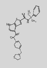 CC(C)(NC(=O)c1cc2c(NC(=O)c3ccc(CN4CCSC4)cc3)n[nH]c2s1)c1ccccc1